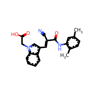 Cc1ccc(C)c(NC(=O)/C(C#N)=C/c2cn(CC(=O)O)c3ccccc23)c1